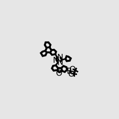 CC1(C)OB(c2ccc3c(c2)oc2cccc(-c4nc(-c5ccccc5)nc(-c5ccc6c7ccccc7c7ccccc7c6c5)n4)c23)OC1(C)C